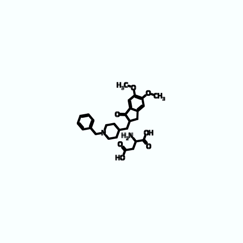 COc1cc2c(cc1OC)C(=O)C(CC1CCN(Cc3ccccc3)CC1)C2.NC(CC(=O)O)C(=O)O